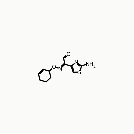 Nc1nc(C([C]=O)=NOC2C=CCCC2)cs1